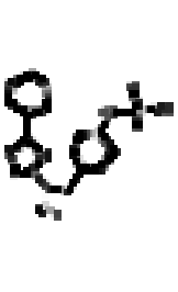 C[C@@H](Cc1ccc(NS(=O)(=O)O)cc1)c1csc(-c2ccccc2)n1